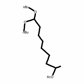 CCCCOC(CCCCCCC(C)OC(C)=O)OCCCC